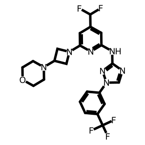 FC(F)c1cc(Nc2ncn(-c3cccc(C(F)(F)F)c3)n2)nc(N2CC(N3CCOCC3)C2)c1